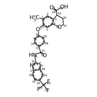 Cc1cc2c(cc1Oc1ccc(C(=O)Nc3nc4ccc(C(F)(F)F)cc4s3)cc1)OCCC2C(=O)O